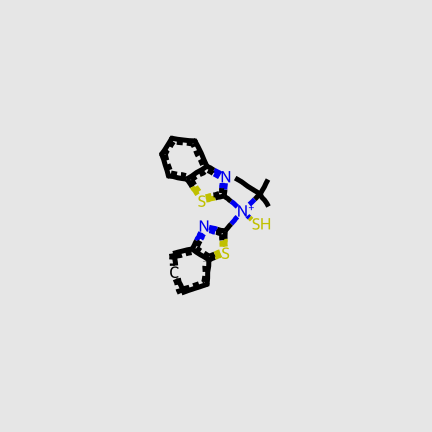 CC(C)(C)[N+](S)(c1nc2ccccc2s1)c1nc2ccccc2s1